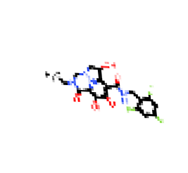 CCN1CN2CC(O)c3c(C(=O)NCc4c(F)cc(F)cc4F)c(=O)c(O)c(n32)C1=O